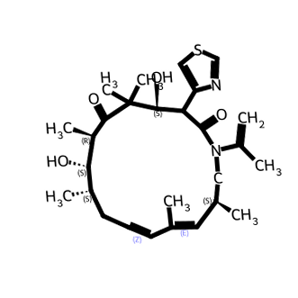 C=C(C)N1C[C@@H](C)/C=C(C)/C=C\C[C@H](C)[C@H](O)[C@@H](C)C(=O)C(C)(C)[C@@H](O)C(c2cscn2)C1=O